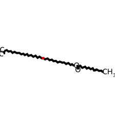 CCCCC=CCCCCCCCC(=O)OCCCCCCCCCCCCCCCCCCCCCCCCCCCCCCCCCCC(C)CC